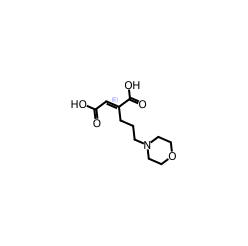 O=C(O)/C=C(\CCCN1CCOCC1)C(=O)O